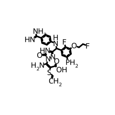 C=CS/C(C(=O)O)=C(\N)n1nc(C(Nc2ccc(C(=N)N)cc2)c2cc(P)cc(OCCF)c2F)[nH]c1=O